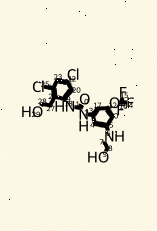 O=C(Nc1cc(NCCO)cc(OC(F)(F)F)c1)Nc1cc(Cl)cc(Cl)c1CCO